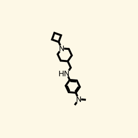 CN(C)c1ccc(NCC2CCN(C3CCC3)CC2)cc1